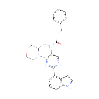 O=C(OCc1ccccc1)N1CC2COCCN2c2nc(-c3cccc4[nH]ccc34)ncc21